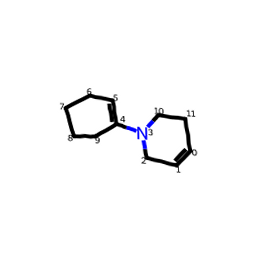 C1=CCN(C2=CCCCC2)CC1